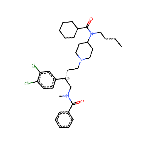 CCCCN(C(=O)C1CCCCC1)C1CCN(CC[C@H](CN(C)C(=O)c2ccccc2)c2ccc(Cl)c(Cl)c2)CC1